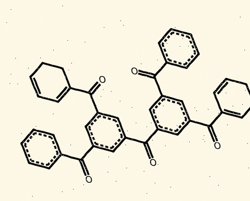 O=C(C1=CCCC=C1)c1cc(C(=O)c2ccccc2)cc(C(=O)c2cc(C(=O)C3=CC=CCC3)cc(C(=O)c3ccccc3)c2)c1